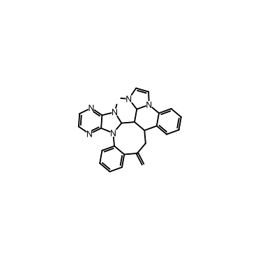 C=C1CC2c3ccccc3N3C=CN(C)C3C2C2N(C)c3nccnc3N2c2ccccc21